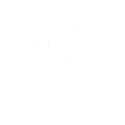 Cc1nc2ccc(C(c3ccc(Cl)cc3)c3nccs3)cc2n1C1CCN(S(C)(=O)=O)CC1